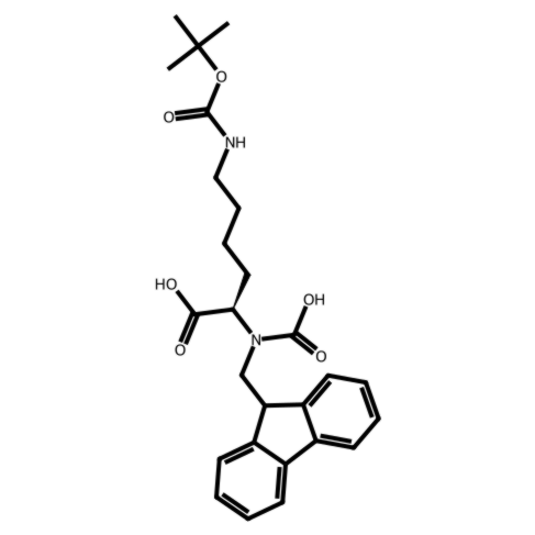 CC(C)(C)OC(=O)NCCCC[C@H](C(=O)O)N(CC1c2ccccc2-c2ccccc21)C(=O)O